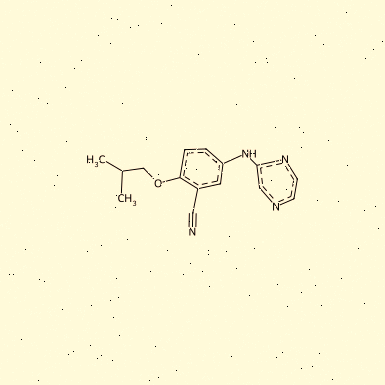 CC(C)COc1ccc(Nc2cnccn2)cc1C#N